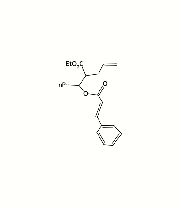 C=CCC(C(=O)OCC)C(CCC)OC(=O)C=Cc1ccccc1